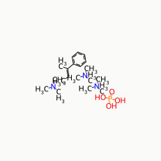 CC=C(C)c1ccccc1.CN(C)C.CN(C)C.CN(C)C.O=P(O)(O)O